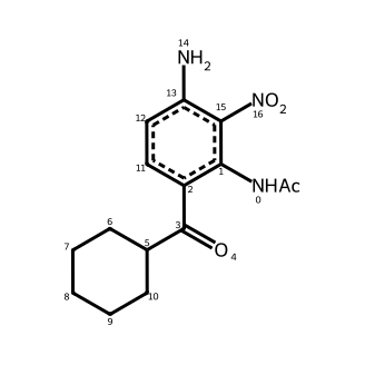 CC(=O)Nc1c(C(=O)C2CCCCC2)ccc(N)c1[N+](=O)[O-]